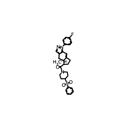 C[C@]12Cc3cnn(-c4ccc(F)cc4)c3C=C1CCC2C(=O)N1CCC(S(=O)(=O)c2ccccc2)CC1